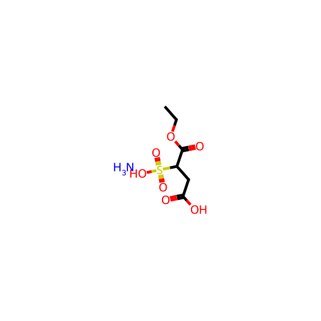 CCOC(=O)C(CC(=O)O)S(=O)(=O)O.N